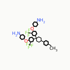 CCc1ccc(C2CCC(c3ccc(Oc4ccc(N)cc4)c(C(F)(F)F)c3)(c3ccc(Oc4ccc(N)cc4)c(C(F)(F)F)c3)CC2)cc1